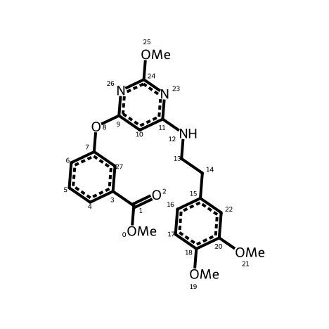 COC(=O)c1cccc(Oc2cc(NCCc3ccc(OC)c(OC)c3)nc(OC)n2)c1